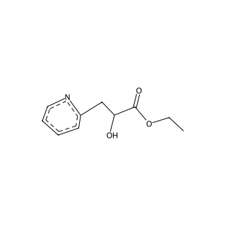 CCOC(=O)C(O)Cc1ccccn1